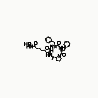 C=C1N[C@@H](CCCCCC(=O)NO)C(=O)N[C@@H](Cc2ccccc2)C(=O)N[C@@H](Cc2ccccc2)C(=O)N2CCCC12